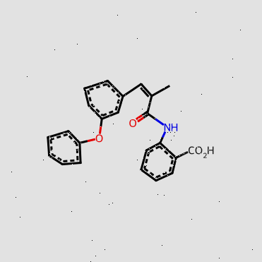 CC(=Cc1cccc(Oc2ccccc2)c1)C(=O)Nc1ccccc1C(=O)O